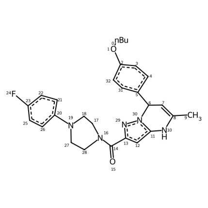 CCCCOc1ccc(C2C=C(C)Nc3cc(C(=O)N4CCN(c5ccc(F)cc5)CC4)nn32)cc1